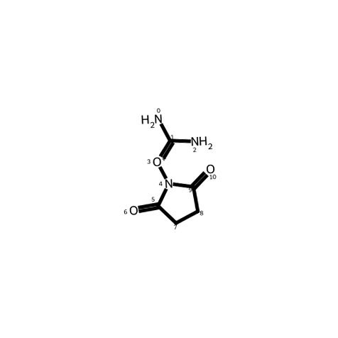 NC(N)=[O+]N1C(=O)CCC1=O